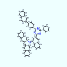 c1ccc(-c2nc(-c3ccc(-c4ccc5ccccc5c4)cc3)nc(-c3cc(-n4c5cc6ccccc6cc5c5cc6ccccc6cc54)c4ccccc4c3)n2)cc1